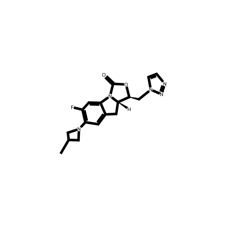 CC1CN(c2cc3c(cc2F)N2C(=O)O[C@@H](Cn4ccnn4)[C@@H]2C3)C1